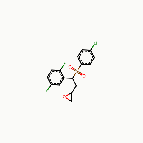 O=S(=O)(c1ccc(Cl)cc1)C(CC1CO1)c1cc(F)ccc1F